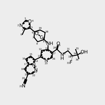 Cc1ncoc1C12CCC(Nc3cc(-c4ccc5cc(C#N)cnn45)ncc3C(=O)NC[C@@H](F)C(C)(C)O)(CC1)CO2